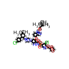 CC1(C)CCC(CN2CCN(c3ccc(C(=O)NS(=O)(=O)c4cnc(OCC5COCCO5)c(Cl)c4)c(Oc4cccc5c4cnn5COCC[Si](C)(C)C)c3)CC2)=C(c2ccc(Cl)cc2)C1